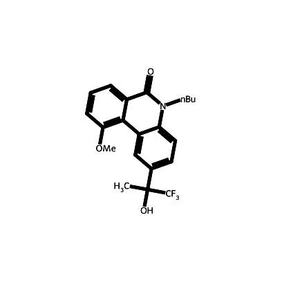 CCCCn1c(=O)c2cccc(OC)c2c2cc(C(C)(O)C(F)(F)F)ccc21